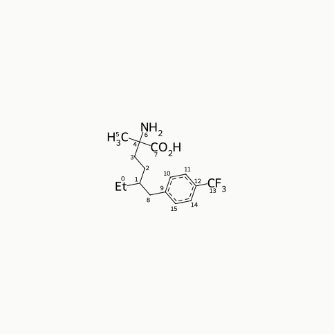 CCC(CCC(C)(N)C(=O)O)Cc1ccc(C(F)(F)F)cc1